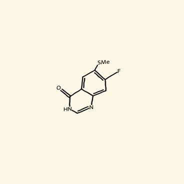 CSc1cc2c(=O)[nH]cnc2cc1F